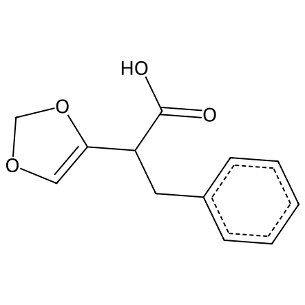 O=C(O)C(Cc1ccccc1)C1=COCO1